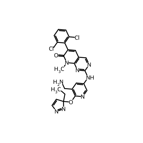 CCC1(Oc2ncc(Nc3ncc4cc(-c5c(Cl)cccc5Cl)c(=O)n(C)c4n3)cc2CN)C=CN=N1